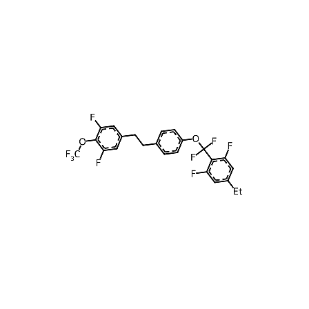 CCc1cc(F)c(C(F)(F)Oc2ccc(CCc3cc(F)c(OC(F)(F)F)c(F)c3)cc2)c(F)c1